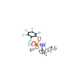 CCOC(=O)[C@H](C)N[P@@](=O)(OCC)Oc1c(F)c(F)c(F)c(F)c1F